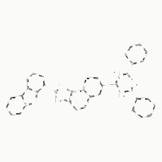 c1ccc(-c2nc(-c3ccccc3)nc(-c3ccc4c(ccc5nc(-c6cccc7c6sc6ccccc67)oc54)c3)n2)cc1